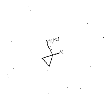 Cl.N[C]1([K])CC1